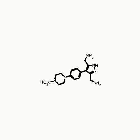 NCc1n[nH]c(CN)c1-c1ccc(N2CCN(C(=O)O)CC2)cc1